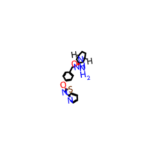 NC(=O)N1[C@@H]2CC[C@H]1CC(NCc1ccc(Oc3nc4ncccc4s3)cc1)C2